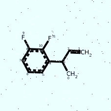 [CH2]C(C=C)c1cccc(F)c1F